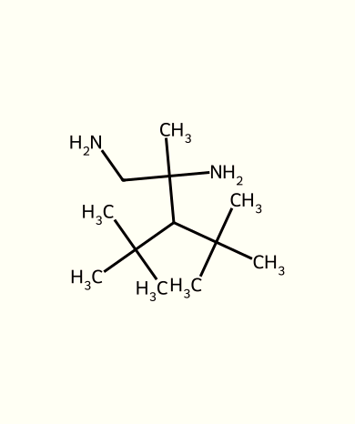 CC(C)(C)C(C(C)(C)C)C(C)(N)CN